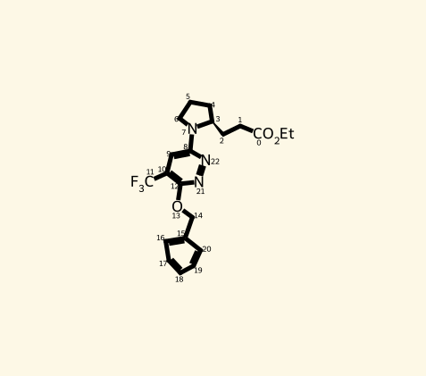 CCOC(=O)CC[C@@H]1CCCN1c1cc(C(F)(F)F)c(OCc2ccccc2)nn1